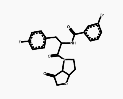 O=C(NC(Cc1ccc(F)cc1)C(=O)N1CCC2OCC(=O)C21)c1cccc(Br)c1